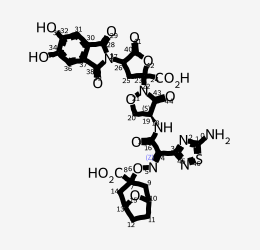 Nc1nc(/C(=N/OC2(C(=O)O)CC3CCC(C2)O3)C(=O)N[C@H]2CON(C3(C(=O)O)CC(N4C(=O)c5cc(O)c(O)cc5C4=O)C(=O)O3)C2=O)ns1